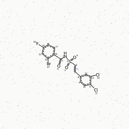 O=C(NS(=O)(=O)/C=C/c1ccc(Cl)c(Cl)c1)c1ccc(F)cc1Br